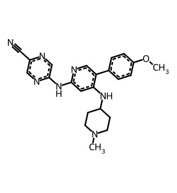 COc1ccc(-c2cnc(Nc3cnc(C#N)cn3)cc2NC2CCN(C)CC2)cc1